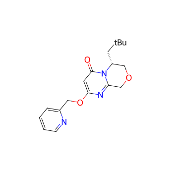 CC(C)(C)C[C@@H]1COCc2nc(OCc3ccccn3)cc(=O)n21